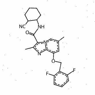 Cc1cc(OCc2c(F)cccc2F)c2nc(C)c(C(=O)NC3CCCCC3C#N)n2c1